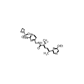 C=N/C(=C\C=C(/C)c1cncc(OCC)n1)C(=O)NCc1ccnc(NS(=O)(=O)N2CCC2)n1